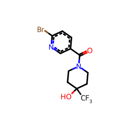 O=C(c1ccc(Br)nc1)N1CCC(O)(C(F)(F)F)CC1